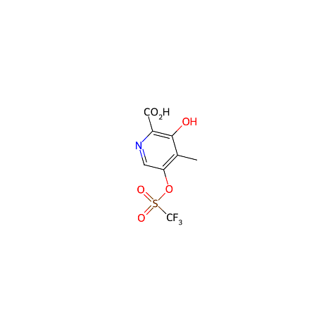 Cc1c(OS(=O)(=O)C(F)(F)F)cnc(C(=O)O)c1O